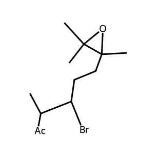 CC(=O)C(C)C(Br)CCC1(C)OC1(C)C